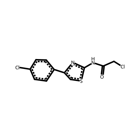 O=C(CCl)Nc1nc(-c2ccc(Cl)cc2)cs1